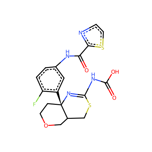 O=C(O)NC1=N[C@@]2(c3cc(NC(=O)c4nccs4)ccc3F)CCOCC2CS1